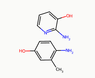 Cc1cc(O)ccc1N.Nc1ncccc1O